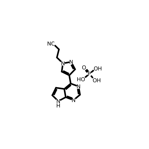 N#CCCn1cc(-c2ncnc3[nH]ccc23)cn1.O=P(O)(O)O